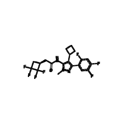 Cn1nc(-c2cc(F)c(F)cc2F)c(C2CCC2)c1NC(=O)C[C@@H]1CC(F)(F)C1(F)F